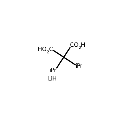 CC(C)C(C(=O)O)(C(=O)O)C(C)C.[LiH]